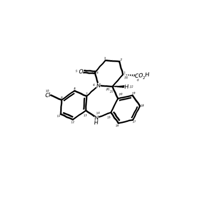 O=C(O)[C@H]1CCC(=O)N2c3cc(Cl)ccc3Nc3ccccc3[C@@H]12